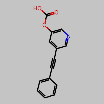 O=C(O)Oc1cncc(C#Cc2ccccc2)c1